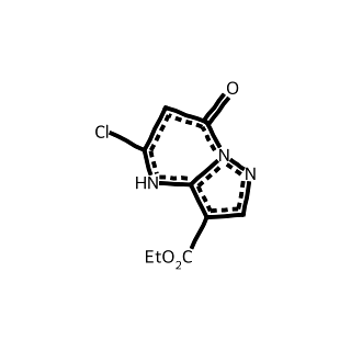 CCOC(=O)c1cnn2c(=O)cc(Cl)[nH]c12